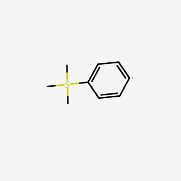 CS(C)(C)c1cc[c]cc1